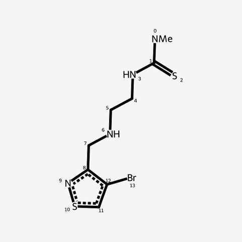 CNC(=S)NCCNCc1nscc1Br